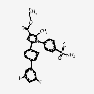 CCOC(=O)c1cc(-c2ccc(-c3cc(F)cc(F)c3)cc2)n(-c2ccc(S(N)(=O)=O)cc2)c1C